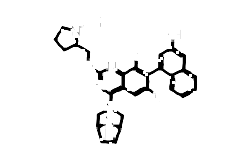 CN1CCCC1COc1nc(N2CC3CCC(C2)N3)c2cc(Cl)c(-c3cc(O)cc4ccccc34)c(F)c2n1